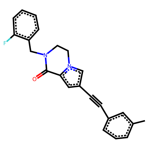 Cc1cccc(C#Cc2cc3n(c2)CCN(Cc2ccccc2F)C3=O)c1